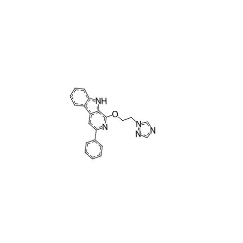 c1ccc(-c2cc3c([nH]c4ccccc43)c(OCCn3cncn3)n2)cc1